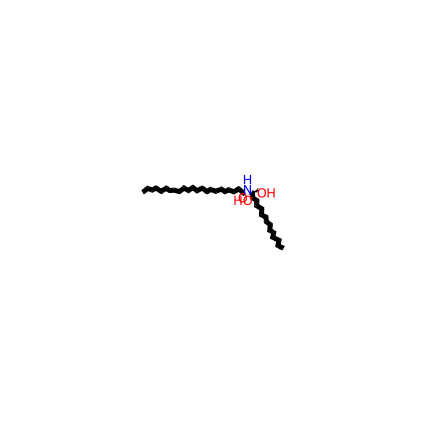 CCCCCCCCCCCCCCCCCCCCCCC(=O)N[C@@H](CO)[C@H](O)CCCCCCCCCCCCC